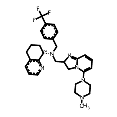 CN1CCN(C2=CC=CC3=NC(CN(Cc4ccc(C(F)(F)F)cc4)[C@H]4CCCc5cccnc54)CN23)CC1